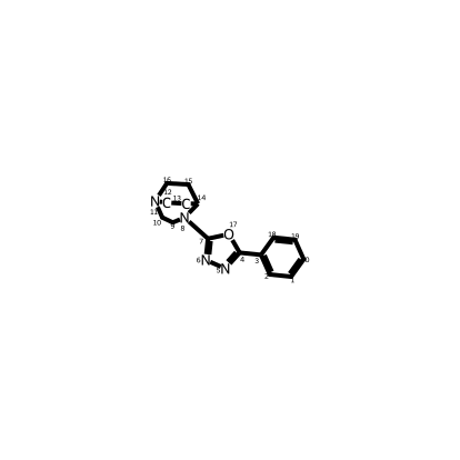 c1ccc(-c2nnc(N3CCN4CCC3CC4)o2)cc1